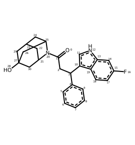 O=C(CC(c1ccccc1)c1c[nH]c2cc(F)ccc12)N1C2CC3CC1CC(O)(C3)C2